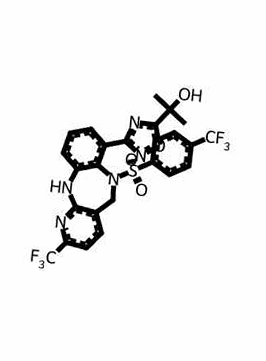 CC(C)(O)c1nc(-c2cccc3c2N(S(=O)(=O)c2ccc(C(F)(F)F)cc2)Cc2ccc(C(F)(F)F)nc2N3)no1